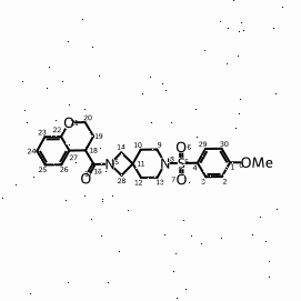 COc1ccc(S(=O)(=O)N2CCC3(CC2)CN(C(=O)C2CCOc4ccccc42)C3)cc1